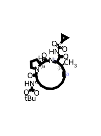 C[C@H]1/C=C\CCCCC[C@H](NC(=O)OC(C)(C)C)C(=O)N2CCC[C@H]2C(=O)/N=C\1C(=O)NS(=O)(=O)C1CC1